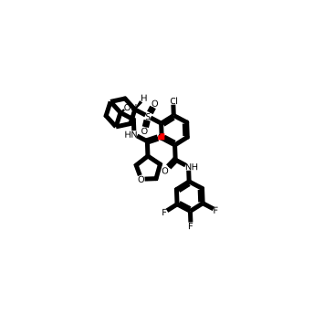 O=C(Nc1cc(F)c(F)c(F)c1)c1ccc(Cl)c(S(=O)(=O)[C@H]2CC3CC(C2)[C@]3(O)CNC(=O)C2CCOC2)c1